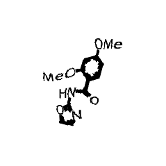 COc1ccc(C(=O)Nc2ncco2)c(OC)c1